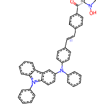 O=C(c1ccc(/C=C/c2ccc(N(c3ccccc3)c3ccc4c(c3)c3ccccc3n4-c3ccccc3)cc2)cc1)[C@@H]1CCCN1O